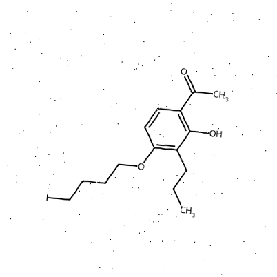 CCCc1c(OCCCCI)ccc(C(C)=O)c1O